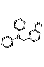 Cc1cccc(CN(c2ccccc2)c2ccccc2)c1